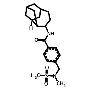 CN(Cc1ccc(C(=O)NC2CCC3CC4CC2[C@@H](C3)C4)cc1)S(C)(=O)=O